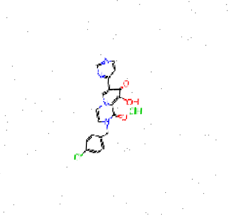 Cl.O=c1c(-c2ccncn2)cn2ccn(Cc3ccc(Cl)cc3)c(=O)c2c1O